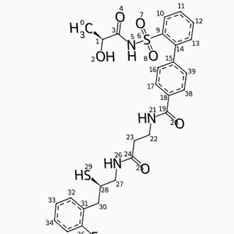 C[C@H](O)C(=O)NS(=O)(=O)c1ccccc1-c1ccc(C(=O)NCCC(=O)NC[C@H](S)Cc2ccccc2F)cc1